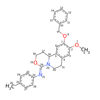 COc1cc2c(cc1OCc1ccccc1)C1CCOC(=Nc3ccc(C)cc3)N1CC2